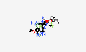 CC(C)(C)OC(=O)N(CC(F)F)c1nc(-c2cnn(C(F)F)c2-c2c(F)c(Cl)cc(OC3CC3)c2C#N)cc2c(CN)n[nH]c(=O)c12